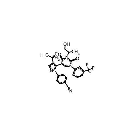 C=C(C)c1cnn(-c2ccc(C#N)cc2)c1-c1cn(-c2cccc(C(F)(F)F)c2)c(=O)n(C(C)CO)c1=O